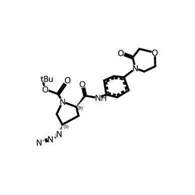 CC(C)(C)OC(=O)N1C[C@@H](N=[N+]=[N-])C[C@@H]1C(=O)Nc1ccc(N2CCOCC2=O)cc1